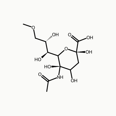 COC[C@H](O)[C@H](O)C1O[C@](O)(C(=O)O)CC(O)[C@]1(O)NC(C)=O